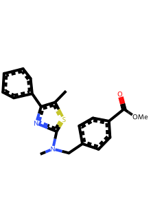 COC(=O)c1ccc(CN(C)c2nc(-c3ccccc3)c(C)s2)cc1